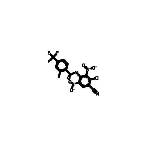 Cc1cc(C(F)(F)F)ccc1C(=O)[N]c1c([N+](=O)[O-])cc(C#N)c(Cl)c1[N+](=O)[O-]